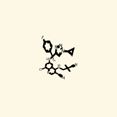 [2H][C@](Nc1cc(Cl)c2ncc(C#N)c(NCC(C)(C)C#N)c2c1)(c1ccc(F)cc1)c1cn(C2CC2)nn1